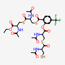 CCOC(=O)C(CSC(=O)C(CSC(=O)c1ccc(C(F)(F)F)cc1OC(=O)C(CSC(=O)C(CS)NC(C)=O)NC(C)=O)NC(C)=O)NC(C)=O